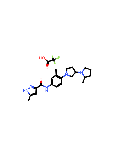 Cc1cc(C(=O)Nc2ccc(N3CCC(N4CCCC4C)C3)c(C)c2)n[nH]1.O=C(O)C(F)(F)F